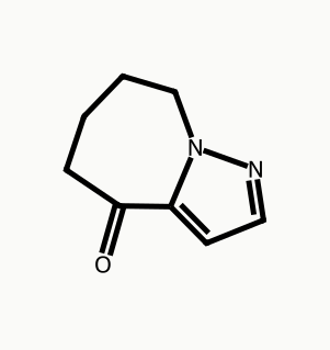 O=C1CCCCn2nccc21